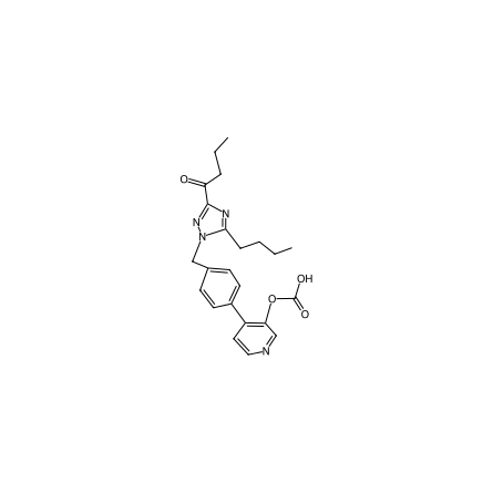 CCCCc1nc(C(=O)CCC)nn1Cc1ccc(-c2ccncc2OC(=O)O)cc1